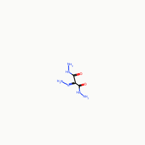 NN=C(C(=O)NN)C(=O)NN